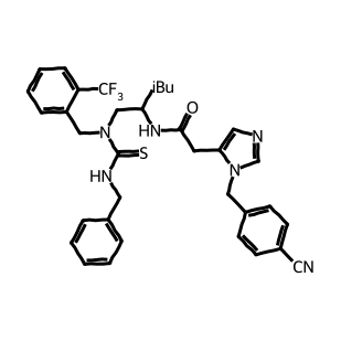 CCC(C)C(CN(Cc1ccccc1C(F)(F)F)C(=S)NCc1ccccc1)NC(=O)Cc1cncn1Cc1ccc(C#N)cc1